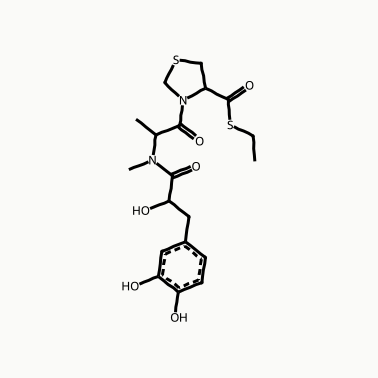 CCSC(=O)C1CSCN1C(=O)C(C)N(C)C(=O)C(O)Cc1ccc(O)c(O)c1